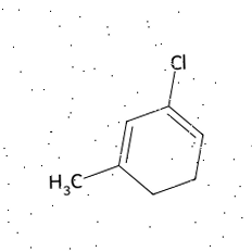 CC1=CC(Cl)=CCC1